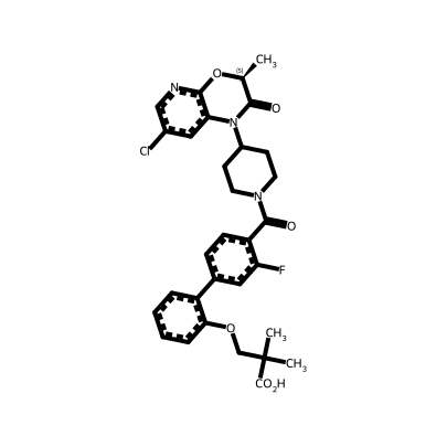 C[C@@H]1Oc2ncc(Cl)cc2N(C2CCN(C(=O)c3ccc(-c4ccccc4OCC(C)(C)C(=O)O)cc3F)CC2)C1=O